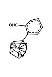 O=Cc1ccccc1[C]12[CH]3[CH]4[CH]5[CH]1[Fe]45321678[CH]2[CH]1[CH]6[CH]7[CH]28